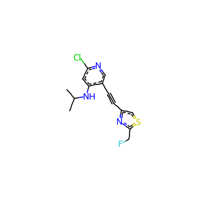 CC(C)Nc1cc(Cl)ncc1C#Cc1csc(CF)n1